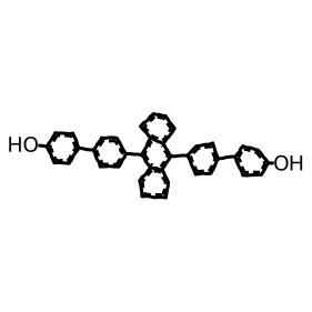 Oc1ccc(-c2ccc(-c3c4ccccc4c(-c4ccc(-c5ccc(O)cc5)cc4)c4ccccc34)cc2)cc1